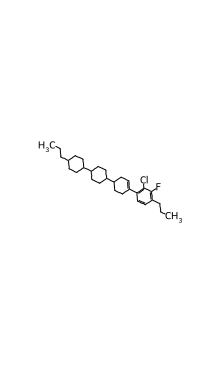 CCCc1ccc(C2=CCC(C3CCC(C4CCC(CCC)CC4)CC3)CC2)c(Cl)c1F